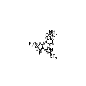 NS(=O)(=O)c1ccc(-n2nc(C(F)(F)F)nc2-c2ccc(C(F)(F)F)cc2F)cc1